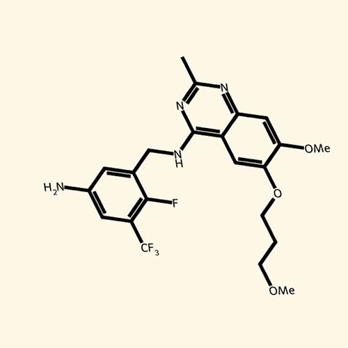 COCCCOc1cc2c(NCc3cc(N)cc(C(F)(F)F)c3F)nc(C)nc2cc1OC